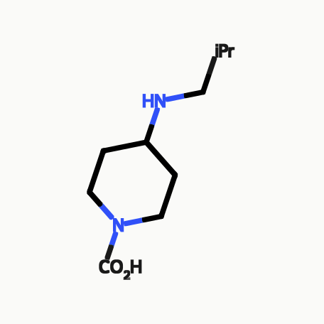 CC(C)CNC1CCN(C(=O)O)CC1